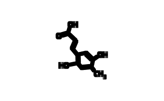 Cc1cc(O)c(C=CC(=O)O)cc1O